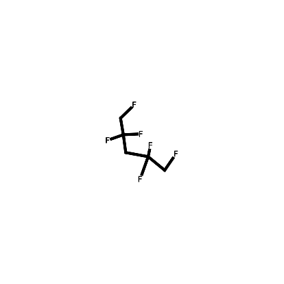 FCC(F)(F)CC(F)(F)CF